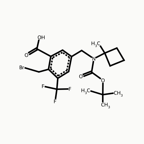 CC(C)(C)OC(=O)N(Cc1cc(C(=O)O)c(CBr)c(C(F)(F)F)c1)C1(C)CCC1